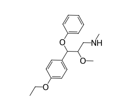 CCOc1ccc(C(Oc2ccccc2)C(CNC)OC)cc1